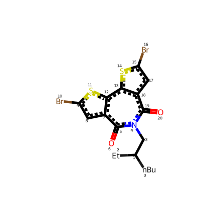 CCCCC(CC)Cn1c(=O)c2cc(Br)sc2c2sc(Br)cc2c1=O